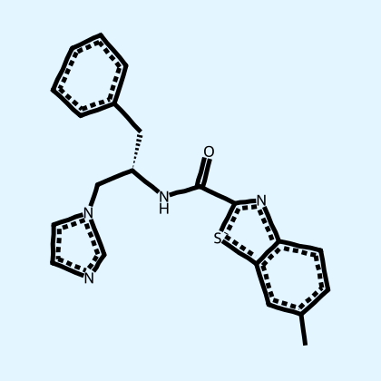 Cc1ccc2nc(C(=O)N[C@@H](Cc3ccccc3)Cn3ccnc3)sc2c1